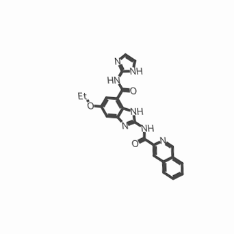 CCOc1cc(C(=O)Nc2ncc[nH]2)c2[nH]c(NC(=O)c3cc4ccccc4cn3)nc2c1